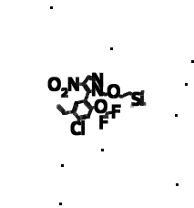 C=Cc1cc(-c2c([N+](=O)[O-])cnn2COCC[Si](C)(C)C)c(OC(F)F)cc1Cl